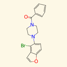 O=C(c1ccccc1)N1CCN(c2ccc3occc3c2Br)CC1